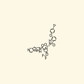 O=C(NCC(=O)N1C[C@H](OC(F)F)C[C@H]1C(=O)NCc1cc2cnccc2[nH]1)c1cccc(Oc2ccc(C3CC3)cc2)c1